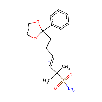 CC(C)(/C=C/CCC1(c2ccccc2)OCCO1)S(N)(=O)=O